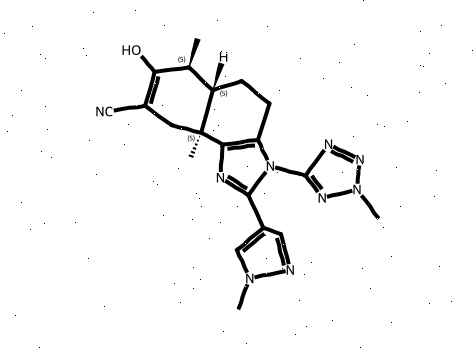 C[C@@H]1C(O)=C(C#N)C[C@]2(C)c3nc(-c4cnn(C)c4)n(-c4nnn(C)n4)c3CC[C@@H]12